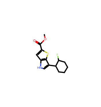 COC(=O)c1cc2[nH]cc(C3CCCCC3F)c2s1